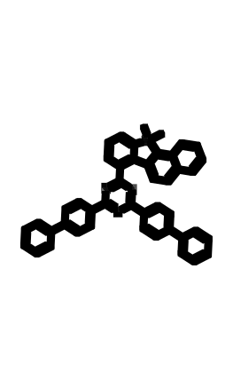 C[Si]1(C)c2cccc(-c3nc(-c4ccc(-c5ccccc5)cc4)nc(-c4ccc(-c5ccccc5)cc4)n3)c2-c2ccc3ccccc3c21